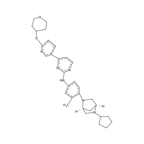 Cc1cc(Nc2nccc(-c3ccc(OC4CCOCC4)nc3)n2)ccc1N1C[C@@H]2C[C@H]1CN2C1CCCC1